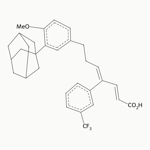 COc1ccc(CC/C=C(/C=C/C(=O)O)c2cccc(C(F)(F)F)c2)cc1C12CC3CC(CC(C3)C1)C2